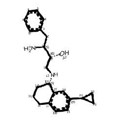 N[C@@H](Cc1ccccc1)[C@H](O)CN[C@H]1CCCc2ccc(C3CC3)cc21